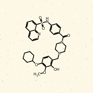 COc1c(OC2CCCCC2)ccc(CN2CCN(C(=O)c3ccc(NS(=O)(=O)c4cccc5cccnc45)cc3)CC2)c1O